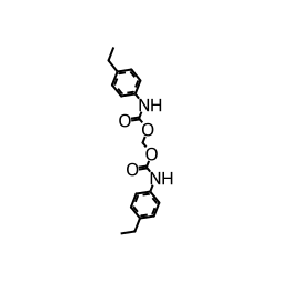 CCc1ccc(NC(=O)OCOC(=O)Nc2ccc(CC)cc2)cc1